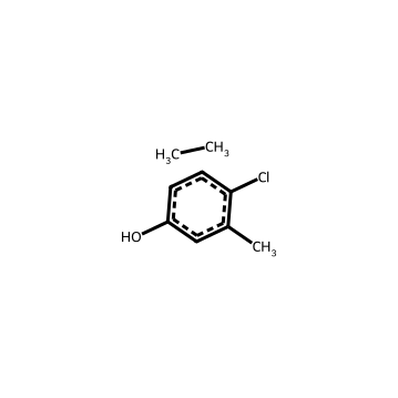 CC.Cc1cc(O)ccc1Cl